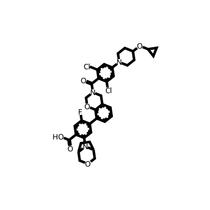 O=C(O)c1cc(F)c(-c2cccc3c2OCN(C(=O)c2c(Cl)cc(N4CCC(OC5CC5)CC4)cc2Cl)C3)cc1N1C2CCC1COC2